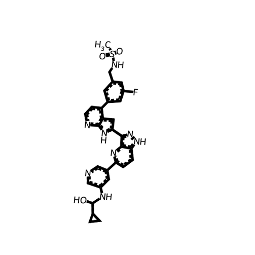 CS(=O)(=O)NCc1cc(F)cc(-c2ccnc3[nH]c(-c4n[nH]c5ccc(-c6cncc(NC(O)C7CC7)c6)nc45)cc23)c1